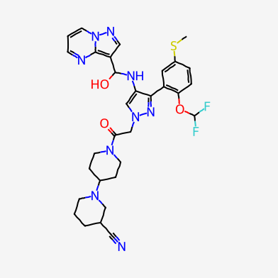 CSc1ccc(OC(F)F)c(-c2nn(CC(=O)N3CCC(N4CCCC(C#N)C4)CC3)cc2NC(O)c2cnn3cccnc23)c1